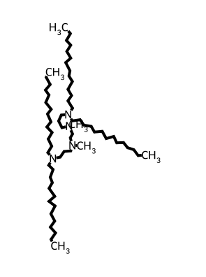 CCCCCCCCCCCCCCN(CCCCCCCCCCCCCC)CCCN(C)CCN(C)CCCN(CCCCCCCCCCCCCC)CCCCCCCCCCCCCC